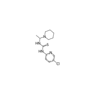 CC(NC(=S)Nc1ccc(Cl)cn1)N1CCCCC1